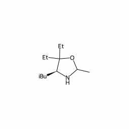 CCC(C)[C@@H]1NC(C)OC1(CC)CC